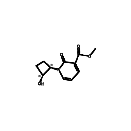 COC(=O)c1cccn([C@@H]2CC[C@@H]2O)c1=O